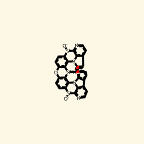 [O-][S+]1c2ccc3c4c2B2c5c(ccnc51)-c1ccc[n+](c12)[N+]41c2c(ccc4c2B2c5c(ccnc5[S+]4[O-])-c4ccc[n+]1c42)O3